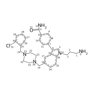 NCCCn1cc(-c2ccc(C(N)=O)cc2)c2cc(CN3CCN(Cc4ccccc4Cl)CC3)ccc21